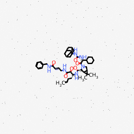 C=CCC[C@@H](NC(=O)[C@@H]1C2C(CN1C(=O)[C@@H](NC(=O)NC13CC4CC(CC(C4)C1)C3)C1CCCCC1)C2(C)C)C(=O)C(=O)NC/C=C/C(=O)NCc1ccccc1